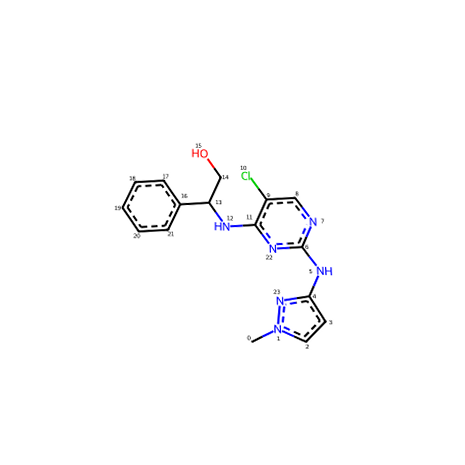 Cn1ccc(Nc2ncc(Cl)c(NC(CO)c3ccccc3)n2)n1